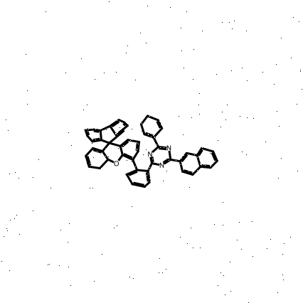 C1=CCC2Oc3c(-c4ccccc4-c4nc(C5=CCCC=C5)nc(-c5ccc6ccccc6c5)n4)cccc3C3(C2=C1)c1ccccc1-c1ccccc13